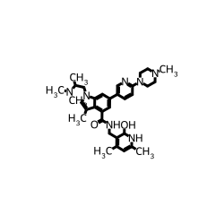 CC1=CC(C)=C(CNC(=O)c2cc(-c3ccc(N4CCN(C)CC4)nc3)cc3c2c(C)cn3CC(C)N(C)C)C(O)N1